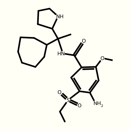 CCS(=O)(=O)c1cc(C(=O)NC(C)(C2CCCCCC2)C2CCCN2)c(OC)cc1N